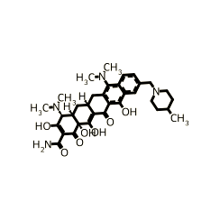 CC1CCN(Cc2ccc3c(N(C)C)c4c(c(O)c3c2)C(=O)C2=C(O)[C@]3(O)C(=O)C(C(N)=O)=C(O)[C@@H](N(C)C)[C@@H]3C[C@@H]2C4)CC1